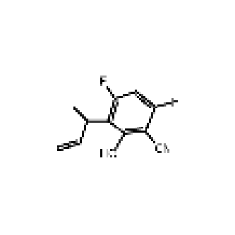 C=CC(C)c1c(F)cc(F)c(C#N)c1O